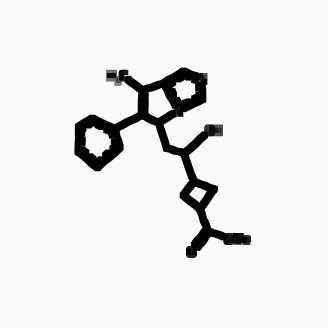 COC(=O)C1CC(C(O)CC2C(c3ccccc3)=C(C)c3cncn32)C1